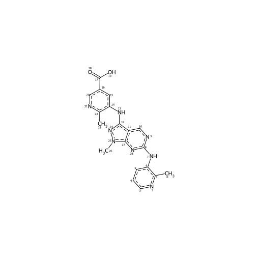 Cc1ncccc1Nc1ncc2c(Nc3cc(C(=O)O)cnc3C)nn(C)c2n1